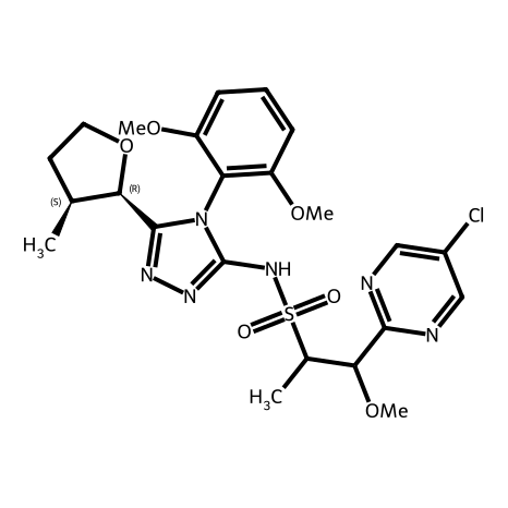 COc1cccc(OC)c1-n1c(NS(=O)(=O)C(C)C(OC)c2ncc(Cl)cn2)nnc1[C@@H]1OCC[C@@H]1C